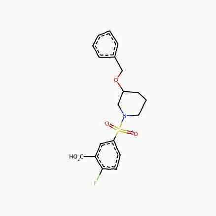 O=C(O)c1cc(S(=O)(=O)N2CCCC(OCc3ccccc3)C2)ccc1F